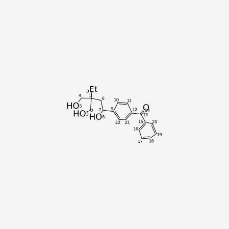 CCC(CO)(CO)CC(O)c1ccc(C(=O)c2ccccc2)cc1